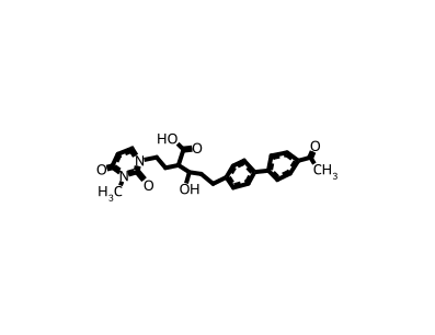 CC(=O)c1ccc(-c2ccc(CCC(O)C(CCn3ccc(=O)n(C)c3=O)C(=O)O)cc2)cc1